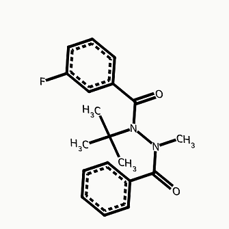 CN(C(=O)c1ccccc1)N(C(=O)c1cccc(F)c1)C(C)(C)C